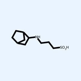 O=S(=O)(O)CCCNC1CC2CCC1C2